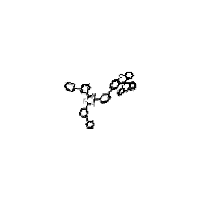 C1=CC(c2nc(-c3cccc(-c4ccccc4)c3)nc(-c3cccc(-c4ccccc4)c3)n2)CC(c2ccc3c(c2)C2(c4ccccc4O3)c3ccccc3-c3ccccc32)=C1